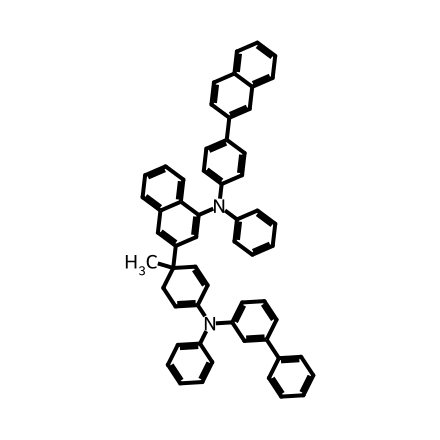 CC1(c2cc(N(c3ccccc3)c3ccc(-c4ccc5ccccc5c4)cc3)c3ccccc3c2)C=CC(N(c2ccccc2)c2cccc(-c3ccccc3)c2)=CC1